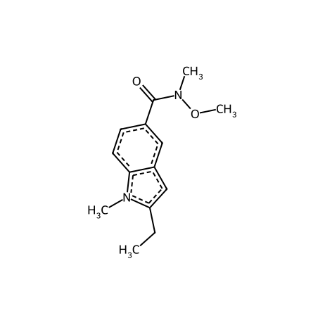 CCc1cc2cc(C(=O)N(C)OC)ccc2n1C